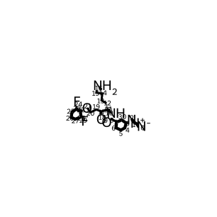 [N-]=[N+]=Nc1cccc(C(=O)N[C@@H](CCCCN)C(=O)CCOc2c(F)cccc2F)c1